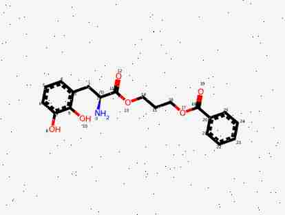 N[C@@H](Cc1cccc(O)c1O)C(=O)OCCCOC(=O)c1ccccc1